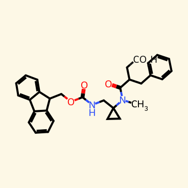 CN(C(=O)C(CC(=O)O)Cc1ccccc1)C1(CNC(=O)OCC2c3ccccc3-c3ccccc32)CC1